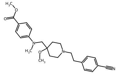 COC(=O)c1ccc(N(C)CC2(OC)CCN(CCc3ccc(C#N)cc3)CC2)cc1